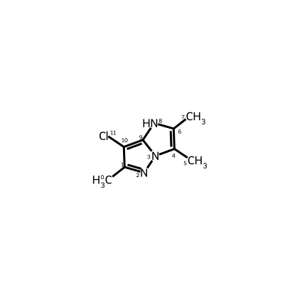 Cc1nn2c(C)c(C)[nH]c2c1Cl